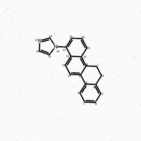 c1ccc2c(c1)CCc1c-2ccc2c(-n3ccnc3)cccc12